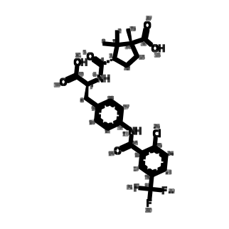 CC1(C)[C@@H](C(=O)N[C@@H](Cc2ccc(NC(=O)c3cc(C(F)(F)F)ccc3Cl)cc2)C(=O)O)CC[C@@]1(C)C(=O)O